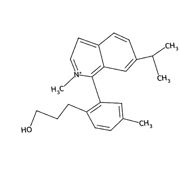 Cc1ccc(CCCO)c(-c2c3cc(C(C)C)ccc3cc[n+]2C)c1